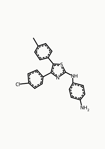 Cc1ccc(-c2sc(Nc3ccc(N)cc3)nc2-c2ccc(Cl)cc2)cc1